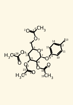 CC(=O)OCC1O[C@@H](Oc2ccc(I)cc2)C(OC(C)=O)[C@@H](OC(C)=O)[C@@H]1OC(C)=O